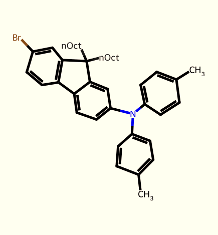 CCCCCCCCC1(CCCCCCCC)c2cc(Br)ccc2-c2ccc(N(c3ccc(C)cc3)c3ccc(C)cc3)cc21